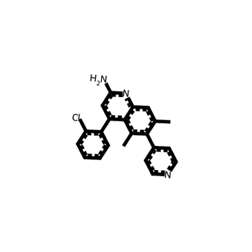 Cc1cc2nc(N)cc(-c3ccccc3Cl)c2c(C)c1-c1ccncc1